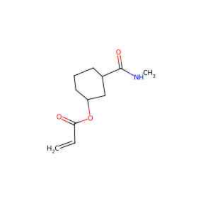 C=CC(=O)OC1CCCC(C(=O)NC)C1